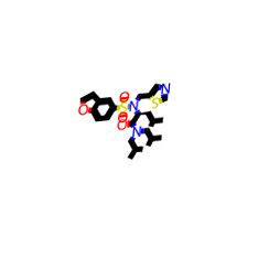 CC(C)C[C@@H](C(=O)N(CC(C)C)CC(C)C)N(Cc1cncs1)S(=O)(=O)c1ccc2occc2c1